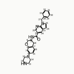 O=C(N[C@H]1COc2cc(N3CCNCC3)ccc2C1)c1cnc2c(ccn2Cc2ccccc2)c1